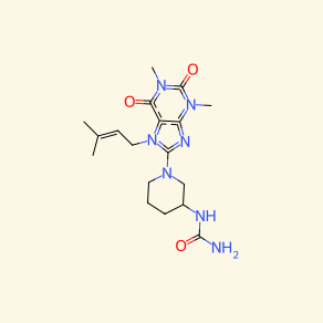 CC(C)=CCn1c(N2CCCC(NC(N)=O)C2)nc2c1c(=O)n(C)c(=O)n2C